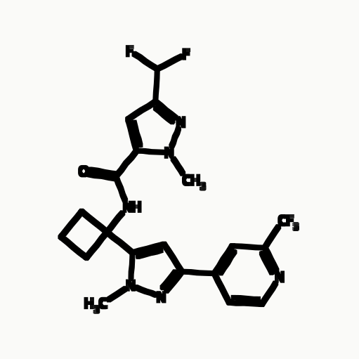 Cn1nc(C(F)F)cc1C(=O)NC1(c2cc(-c3ccnc(C(F)(F)F)c3)nn2C)CCC1